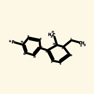 CCC1C=CC=C(c2ccc(F)cc2)C1C